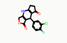 O=C1CCC2=C1C(c1ccc(F)c(Cl)c1)C1=C(COC1=O)N2